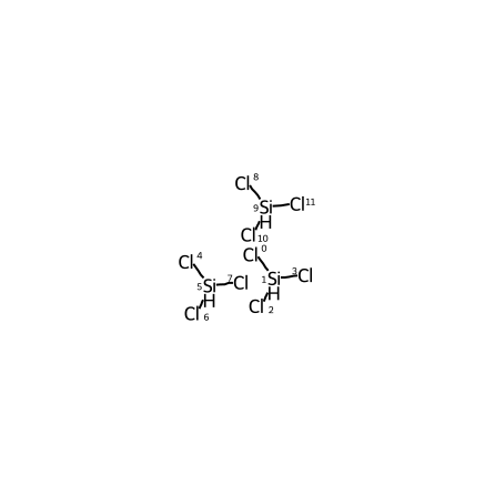 Cl[SiH](Cl)Cl.Cl[SiH](Cl)Cl.Cl[SiH](Cl)Cl